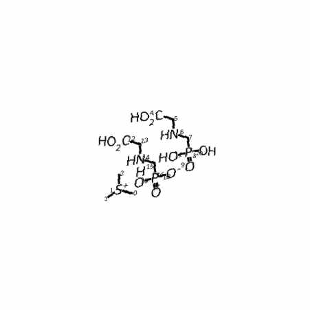 C[S+](C)C.O=C(O)CNCP(=O)(O)O.O=C(O)CNCP(=O)([O-])O